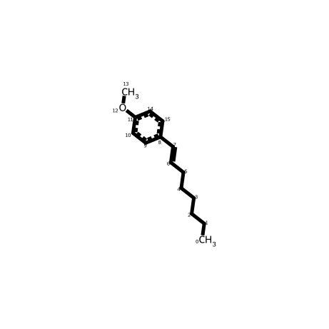 CCCCCC/C=C/c1ccc(OC)cc1